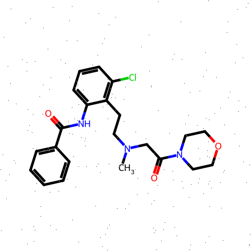 CN(CCc1c(Cl)cccc1NC(=O)c1ccccc1)CC(=O)N1CCOCC1